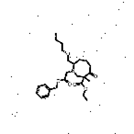 CCCCOCC1CCCC(=O)C(C)(C(=O)OCC)CN1CC(=O)OCc1ccccc1